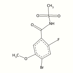 COc1cc(C(=O)NS(C)(=O)=O)c(F)cc1Br